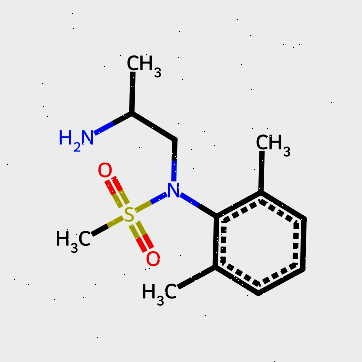 Cc1cccc(C)c1N(CC(C)N)S(C)(=O)=O